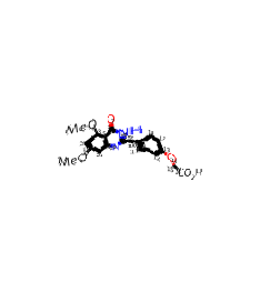 COc1cc(OC)c2c(=O)[nH]c(-c3ccc(OCC(=O)O)cc3)nc2c1